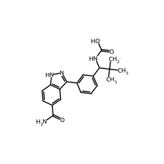 [CH2]C(C)(C)C(NC(=O)O)c1cccc(-c2n[nH]c3ccc(C(N)=O)cc23)c1